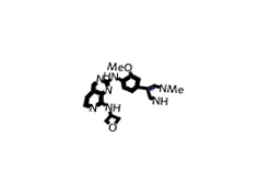 CN/C=C(\C=N)c1ccc(Nc2ncc3ccnc(NC4COC4)c3n2)c(OC)c1